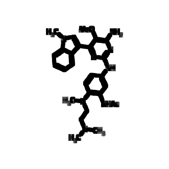 COc1c(N)nc(Nc2ccc(N(C)CCN(C)C)c(NC(C)=O)c2)nc1-c1cn(C)c2ccccc12